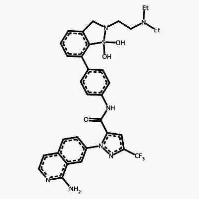 CCN(CC)CCN1Cc2cccc(-c3ccc(NC(=O)c4cc(C(F)(F)F)nn4-c4ccc5ccnc(N)c5c4)cc3)c2S1(O)O